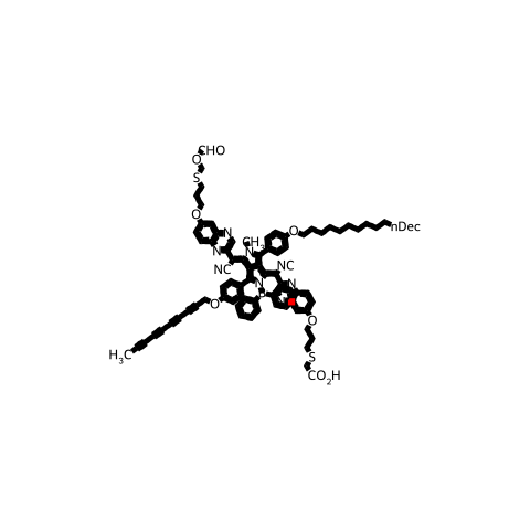 [C-]#[N+]/C(c1cnc2cc(OCCCSCC(=O)O)ccc2n1)=c1\c2c(-c3ccc(OCCCCCCCCCCCCCCCCCCCC)cc3)n(C)/c(=C(/C#N)c3cnc4cc(OCCCSCOC=O)ccc4n3)c2c(-c2ccc(OCC#CC#CC#CC#CC)cc2)n1B(c1ccccc1)c1ccccc1